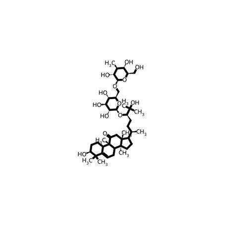 C[C@@H]1[C@@H](O)[C@H](OC[C@H]2O[C@@H](O[C@H](CC[C@@H](C)C3CC[C@@]4(C)C5CC=C6C(CC[C@H](O)C6(C)C)[C@]5(C)C(=O)C[C@]34C)C(C)(C)O)[C@H](O)[C@@H](O)[C@@H]2O)O[C@H](CO)[C@H]1O